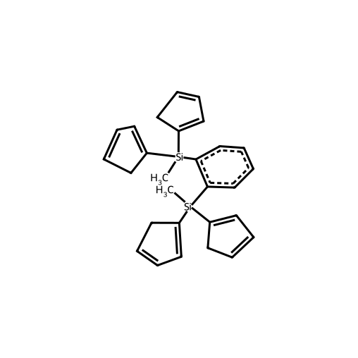 C[Si](C1=CC=CC1)(C1=CC=CC1)c1ccccc1[Si](C)(C1=CC=CC1)C1=CC=CC1